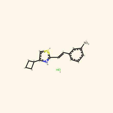 Cl.O=[N+]([O-])c1cccc(/C=C/c2nc(C3CCC3)cs2)c1